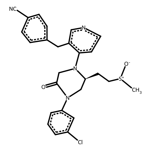 C[S+]([O-])CC[C@H]1CN(c2cccc(Cl)c2)C(=O)CN1c1ccncc1Cc1ccc(C#N)cc1